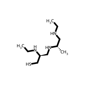 CCNC[C@H](C)NC[C@@H](CS)NCC